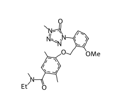 CCN(C)C(=O)c1cc(C)c(OCc2c(OC)cccc2-n2nnn(C)c2=O)cc1C